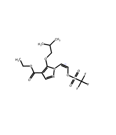 CCOC(=O)c1cnn(/C=C\OS(=O)(=O)C(F)(F)F)c1OCC(C)C